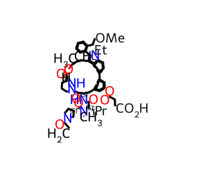 C=CC(=O)N1CC[C@H](C(=O)N(C)[C@H](C(=O)N[C@H]2Cc3cc(OC(=O)CCC(=O)O)cc(c3)-c3ccc4c(c3)c(c(-c3ccccc3CCOC)n4CC)CC(C)(C)COC(=O)[C@@H]3CCCN(N3)C2=O)C(C)C)C1